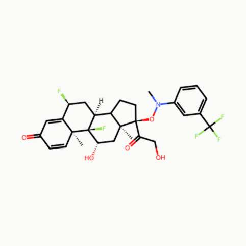 CN(O[C@]1(C(=O)CO)CCC2[C@@H]3C[C@H](F)C4=CC(=O)C=C[C@]4(C)[C@@]3(F)[C@@H](O)C[C@@]21C)c1cccc(C(F)(F)F)c1